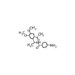 COc1cc(C(C)=O)c(C(C)NC(=O)c2ccc(N)cc2)cc1OC